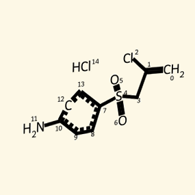 C=C(Cl)CS(=O)(=O)c1ccc(N)cc1.Cl